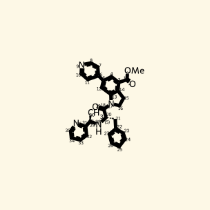 COC(=O)c1cc(-c2ccncc2)cc2c1CCN2C(=O)[C@H](Cc1ccccc1)N[C@H](C)c1ccccn1